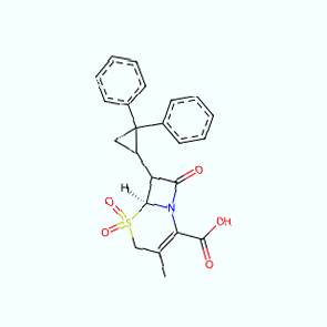 CC1=C(C(=O)O)N2C(=O)C(C3CC3(c3ccccc3)c3ccccc3)[C@@H]2S(=O)(=O)C1